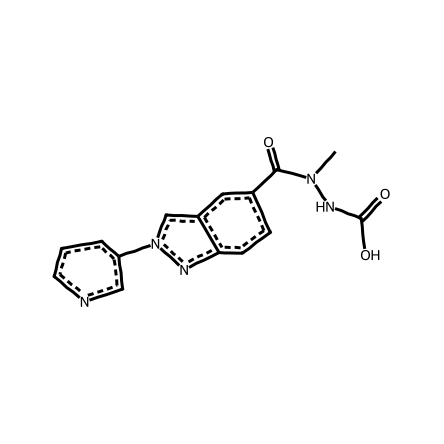 CN(NC(=O)O)C(=O)c1ccc2nn(-c3cccnc3)cc2c1